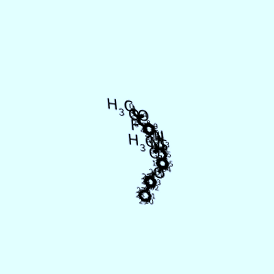 CCOC(=O)C(F)c1ccc(N=C2SC(=Cc3ccc(OCc4ccc(C5CCCCC5)cc4)cc3)C(=O)N2C)cc1